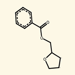 O=C(OCC1[CH][CH]CO1)c1ccccc1